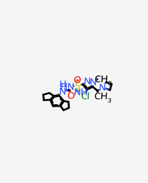 CC(c1c(Cl)c(S(=N)(=O)NC(=O)Nc2c3c(cc4c2CCC4)CCC3)nn1C)N1CCC1